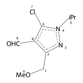 COCc1nn(C(C)C)c(Cl)c1C=O